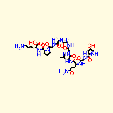 CC(C)C[C@H](NC(=O)[C@H](CCC(N)=O)NC(=O)CNC(=O)[C@@H]1C[C@@H](O)CN1)C(=O)NCC(=O)N[C@@H](C)C(=O)N[C@@H](C)C(=O)NCC(=O)N1CCC[C@H]1C(=O)N[C@@H](CCCCN)C(=O)O